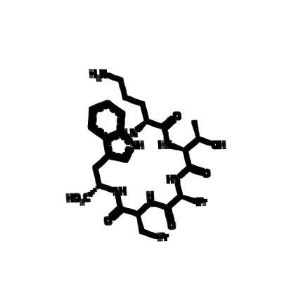 CC(C)C[C@H](NC(=O)[C@@H](NC(=O)[C@@H](NC(=O)[C@@H](N)CCCN)[C@@H](C)O)C(C)C)C(=O)N[C@@H](Cc1c[nH]c2ccccc12)C(=O)O